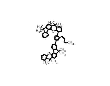 C/C=C\C=C/c1cc(-c2ccc3c(c2)C(C)(C)c2ccc4c(c2-3)Oc2ccccc2C4(C)C)ccc1-c1cccc2c1Oc1c(ccc3c1-c1ccccc1C3(C)C)C2(C)C